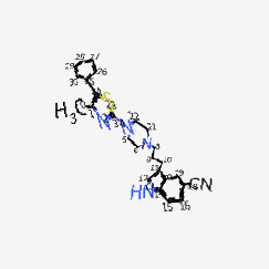 Cc1nc(N2CCN(CCCc3c[nH]c4ccc(C#N)cc34)CC2)sc1-c1ccccc1